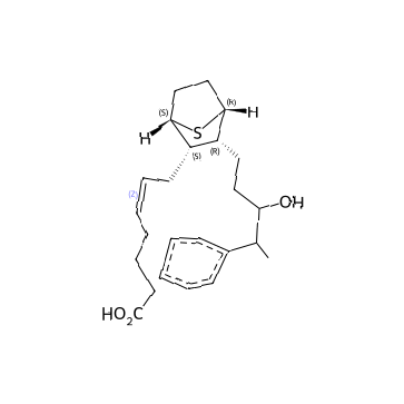 CC(c1ccccc1)C(O)CC[C@@H]1[C@H](C/C=C\CCCC(=O)O)[C@@H]2CC[C@H]1S2